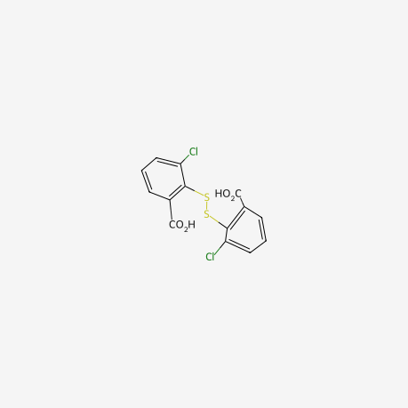 O=C(O)c1cccc(Cl)c1SSc1c(Cl)cccc1C(=O)O